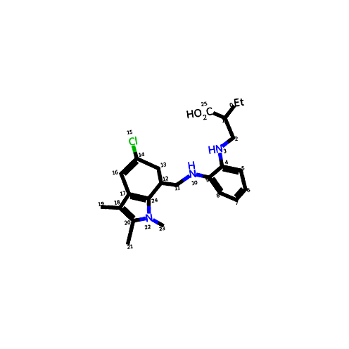 CCC(CNc1ccccc1NCC1CC(Cl)=Cc2c(C)c(C)n(C)c21)C(=O)O